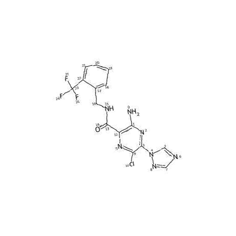 Nc1nc(-n2cncn2)c(Cl)nc1C(=O)NCc1ccccc1C(F)(F)F